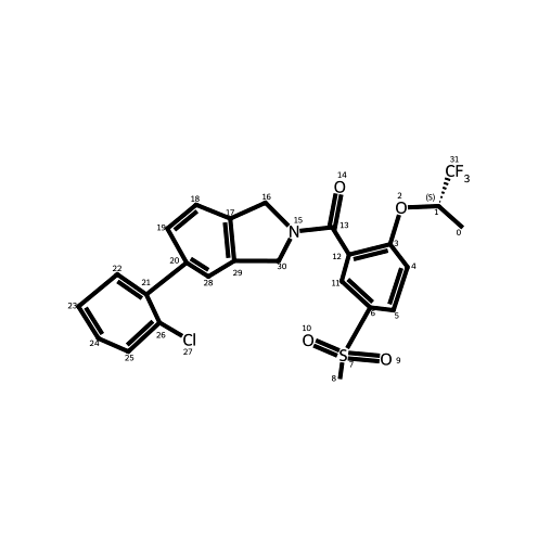 C[C@H](Oc1ccc(S(C)(=O)=O)cc1C(=O)N1Cc2ccc(-c3ccccc3Cl)cc2C1)C(F)(F)F